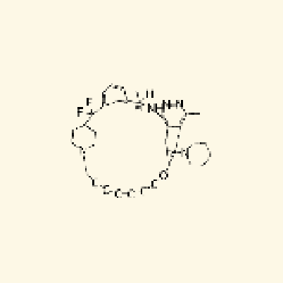 Cc1nnc2c3cc(N4CCCCC4)c(cc13)OCCCCCCCN1CCC(CC1)C(F)(F)c1cccc(c1)[C@@H](C)N2